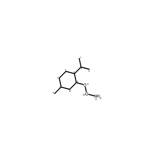 CC1CCC(C(C)C)C(OON)C1